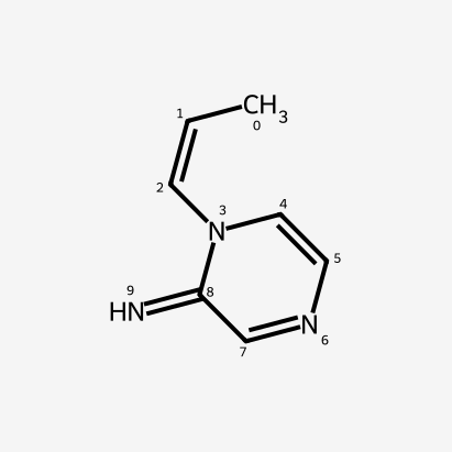 C/C=C\n1ccncc1=N